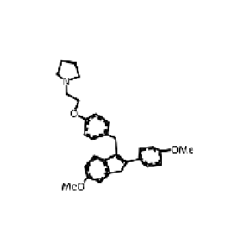 COc1ccc(C2=C(Cc3ccc(OCCN4CCCC4)cc3)c3ccc(OC)cc3C2)cc1